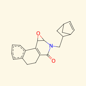 O=C1C2=C(c3ccccc3CC2)C2OC2N1CC1CC2C=CC1C2